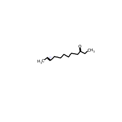 C/C=C/CCCCCCC(=O)CC